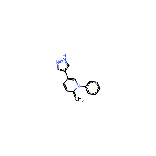 C=C1C=CC(c2cn[nH]c2)=CN1c1ccccc1